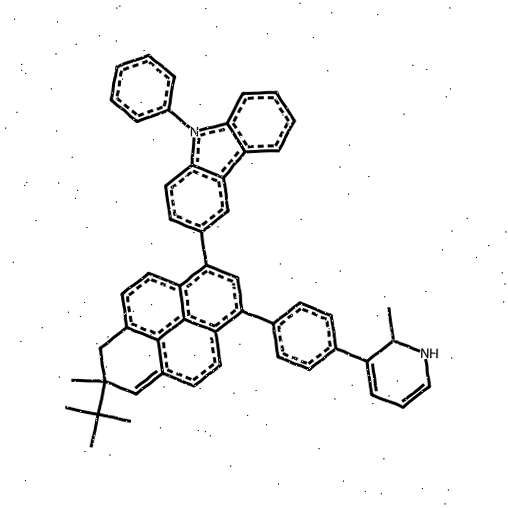 CC1NC=CC=C1c1ccc(-c2cc(-c3ccc4c(c3)c3ccccc3n4-c3ccccc3)c3ccc4c5c(ccc2c35)=CC(C)(C(C)(C)C)C4)cc1